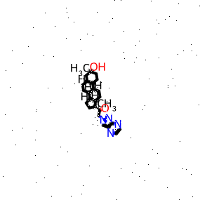 C[C@@]1(O)CC[C@H]2[C@H](CC[C@@H]3[C@@H]2CC[C@]2(C)[C@@H](C(=O)Cn4cc5nccnc5n4)CC[C@@H]32)C1